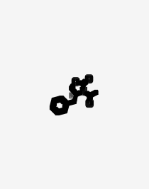 CC(=O)N1C(=O)OC[C@@H]1Cc1ccccc1